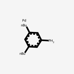 CCCCc1cc(P)cc(CCCC)c1.[Pd]